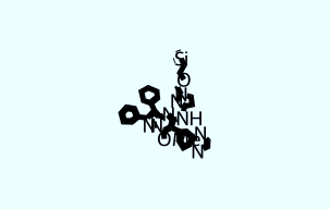 COc1c(-c2ccc3nccnc3c2)c(NC2=NN(COCC[Si](C)(C)C)CC2)nc2c(C3=CCCCC3)c(-c3ccccc3)nn12